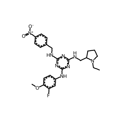 CCN1CCCC1CNc1nc(NCc2ccc([N+](=O)[O-])cc2)nc(Nc2ccc(OC)c(F)c2)n1